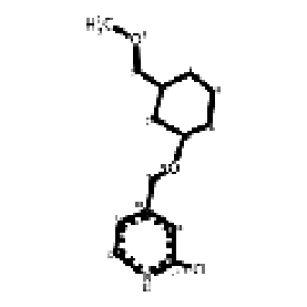 COCC1CCCC(OCc2ccnc(Cl)c2)C1